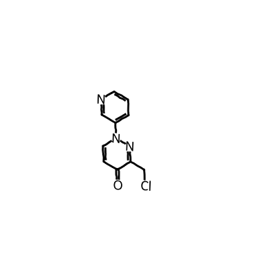 O=c1ccn(-c2cccnc2)nc1CCl